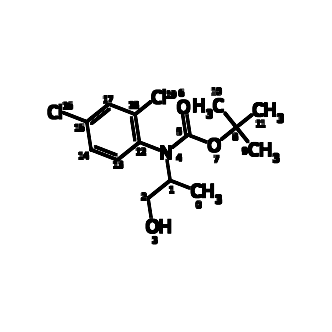 CC(CO)N(C(=O)OC(C)(C)C)c1ccc(Cl)cc1Cl